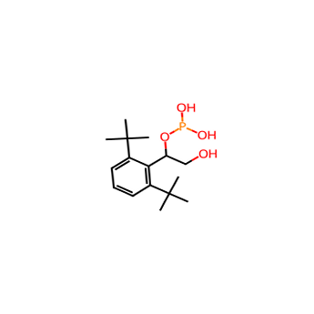 CC(C)(C)c1cccc(C(C)(C)C)c1C(CO)OP(O)O